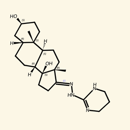 C[C@]12CC[C@H](O)C[C@H]1CC[C@@H]1[C@@H]2CC[C@]2(C)/C(=N/NC3=NCCCN3)CC[C@]12O